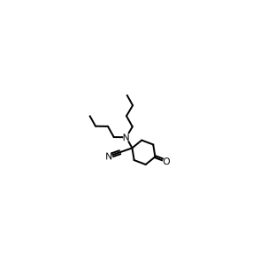 CCCCN(CCCC)C1(C#N)CCC(=O)CC1